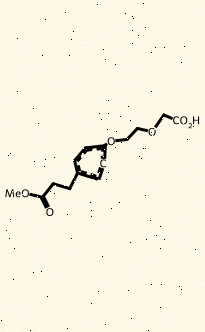 COC(=O)CCc1ccc(OCCOCC(=O)O)cc1